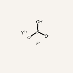 [F-].[O-]B([O-])O.[Y+3]